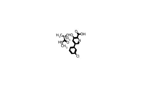 CNC(=O)N(C)C.O=C(O)c1ncc(-c2cccc(Cl)c2)cc1O